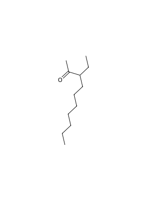 CCCCCCCC(CC)C(C)=O